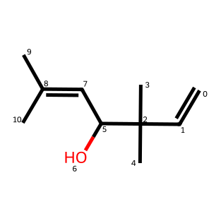 C=CC(C)(C)C(O)C=C(C)C